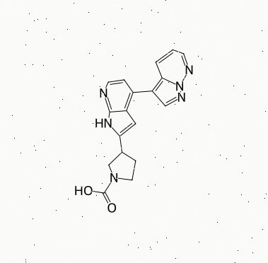 O=C(O)N1CCC(c2cc3c(-c4cnn5ncccc45)ccnc3[nH]2)C1